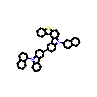 c1ccc2cc(-n3c4ccc(-c5ccc6c(c5)c5ccccc5n6-c5cccc6ccccc56)cc4c4c5c(ccc43)sc3ccccc35)ccc2c1